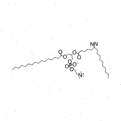 CCCCCCCCCCCCCCCC(=O)OCC(COP(=O)([O-])OCC[N+](C)(C)C)OC(=O)CCCCC1(CCCCCCCCCC)N=N1